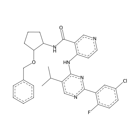 CC(C)c1cnc(-c2cc(Cl)ccc2F)nc1Nc1ccncc1C(=O)NC1CCCC1OCc1ccccc1